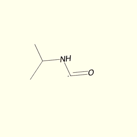 CC(C)N[C]=O